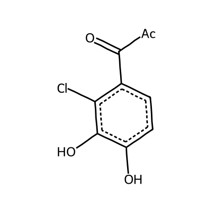 CC(=O)C(=O)c1ccc(O)c(O)c1Cl